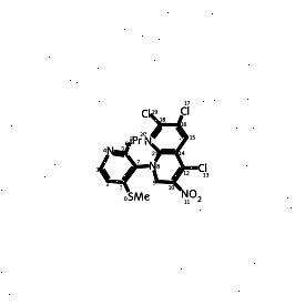 CSc1ccnc(C(C)C)c1N1CC([N+](=O)[O-])=C(Cl)c2cc(Cl)c(Cl)nc21